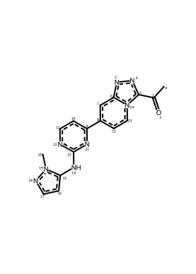 CC(=O)c1nnc2cc(-c3ccnc(Nc4ccnn4C)n3)ccn12